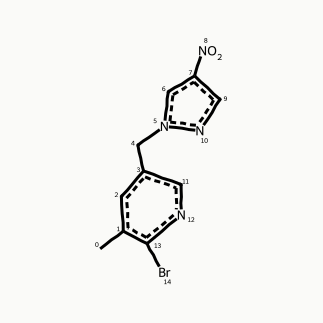 Cc1cc(Cn2cc([N+](=O)[O-])cn2)cnc1Br